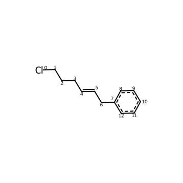 ClCCC/C=C/Cc1ccccc1